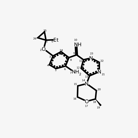 CCC1(Oc2ccc(N)c(C(=N)c3cc(N4CCO[C@H](C)C4)ncn3)c2)CC1